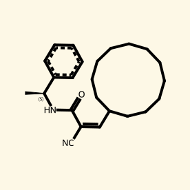 C[C@H](NC(=O)C(C#N)=CC1CCCCCCCCCCC1)c1ccccc1